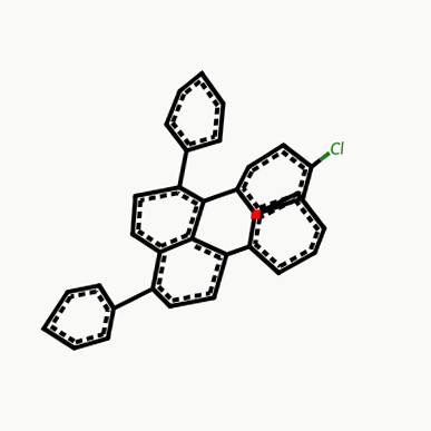 Clc1ccc(-c2c(-c3ccccc3)ccc3c(-c4ccccc4)ccc(-c4ccccc4)c23)cc1